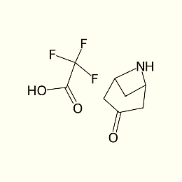 O=C(O)C(F)(F)F.O=C1CC2CC(C1)N2